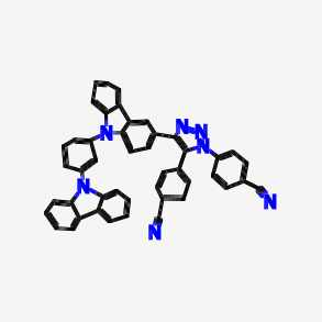 N#Cc1ccc(-c2c(-c3ccc4c(c3)c3ccccc3n4-c3cccc(-n4c5ccccc5c5ccccc54)c3)nnn2-c2ccc(C#N)cc2)cc1